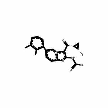 Cc1c(F)cccc1-c1ccc2nc(NC(=O)O)c(C(=O)[C@@H]3C[C@@H]3F)n2c1